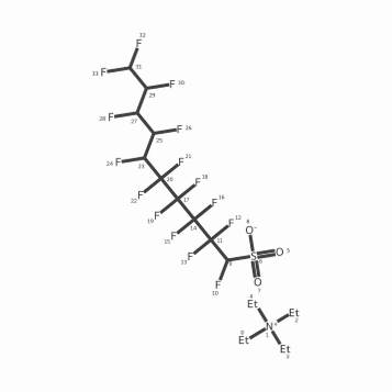 CC[N+](CC)(CC)CC.O=S(=O)([O-])C(F)C(F)(F)C(F)(F)C(F)(F)C(F)(F)C(F)C(F)C(F)C(F)C(F)F